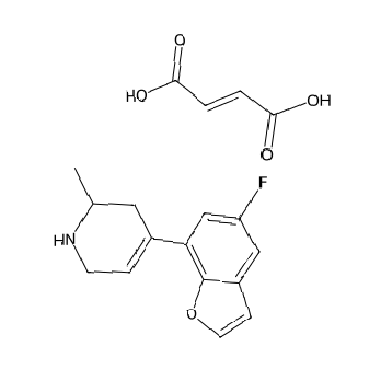 CC1CC(c2cc(F)cc3ccoc23)=CCN1.O=C(O)C=CC(=O)O